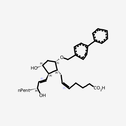 CCCCC[C@@H](O)/C=C/[C@@H]1[C@@H](C/C=C\CCCC(=O)O)[C@@H](OCc2ccc(-c3ccccc3)cc2)C[C@H]1O